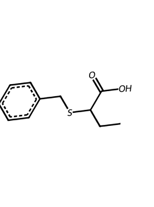 CCC(SCc1ccccc1)C(=O)O